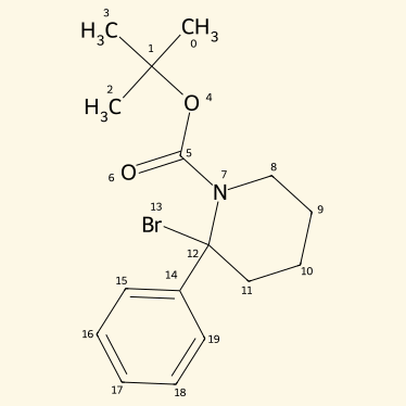 CC(C)(C)OC(=O)N1CCCCC1(Br)c1ccccc1